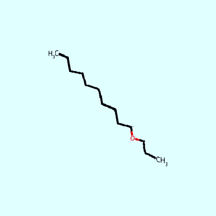 CCCCCCCCC[CH]OCCC